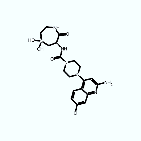 Nc1cc(N2CCN(C(=O)N[C@H]3CS(O)(O)CCNC3=O)CC2)c2ccc(Cl)cc2n1